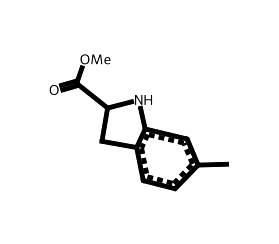 COC(=O)C1Cc2ccc(C)cc2N1